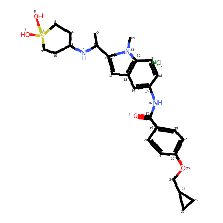 CC(NC1CCS(O)(O)CC1)c1cc2cc(NC(=O)c3ccc(OCC4CC4)cc3)ccc2n1C.Cl